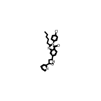 CCCCCc1nc2cc(C3=NOC(c4ccccn4)C3)ccc2c(=O)n1-c1ccc(Cl)cc1